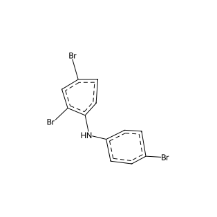 Brc1ccc(Nc2ccc(Br)cc2Br)cc1